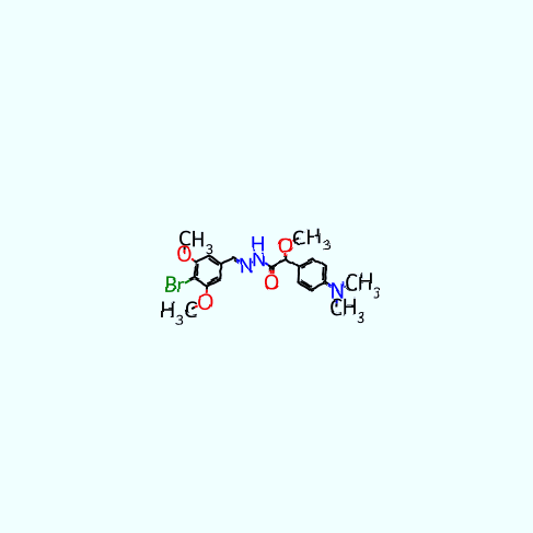 COc1cc(/C=N/NC(=O)C(OC)c2ccc(N(C)C)cc2)cc(OC)c1Br